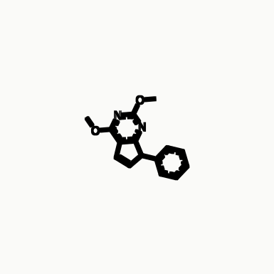 COc1nc(OC)c2c(n1)C(c1ccccc1)C=C2